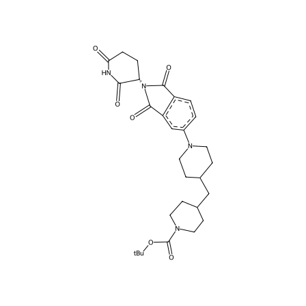 CC(C)(C)OC(=O)N1CCC(CC2CCN(c3ccc4c(c3)C(=O)N([C@H]3CCC(=O)NC3=O)C4=O)CC2)CC1